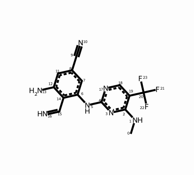 CNc1nc(Nc2cc(C#N)cc(N)c2C=N)ncc1C(F)(F)F